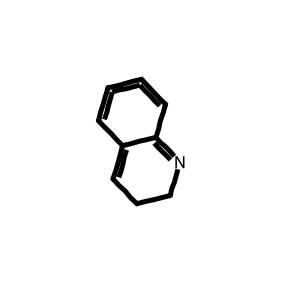 C1=C=CC2=NCCC=C2C=1